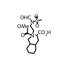 COC(=O)[N+]1(CCN(C=O)S(C)(=O)=O)CC2CCCCC2CC1C(=O)O